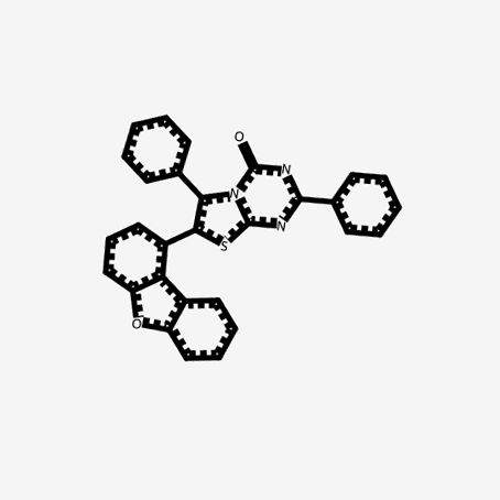 O=c1nc(-c2ccccc2)nc2sc(-c3cccc4oc5ccccc5c34)c(-c3ccccc3)n12